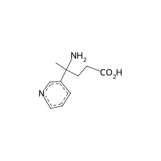 CC(N)(CCC(=O)O)c1cccnc1